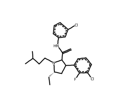 C=C(Nc1cccc(Cl)c1)C1C(c2cccc(Cl)c2F)C[C@H](CC)N1CCC(C)C